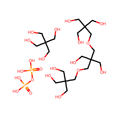 O=P(O)(O)OP(=O)(O)O.OCC(CO)(CO)CO.OCC(CO)(CO)COCC(CO)(CO)COCC(CO)(CO)CO